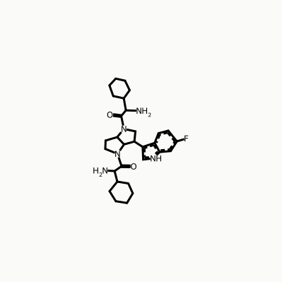 NC(C(=O)N1CC(c2c[nH]c3cc(F)ccc23)C2C1CCN2C(=O)C(N)C1CCCCC1)C1CCCCC1